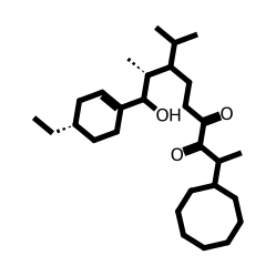 CC[C@@H]1CC=C(C(O)[C@H](C)C(CCC(=O)C(=O)C(C)C2CCCCCCC2)C(C)C)CC1